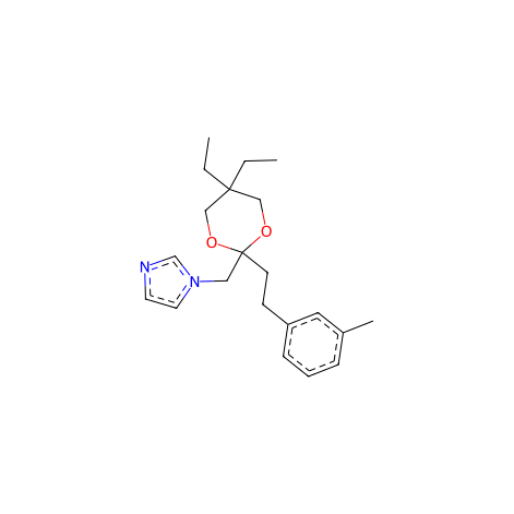 CCC1(CC)COC(CCc2cccc(C)c2)(Cn2ccnc2)OC1